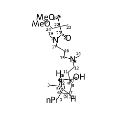 CCCC1=C(C)[C@@H]2CC[C@H]1C[C@]2(O)CCN(C)CCCN(C)C(=O)C(C)(COC)COC